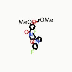 COCCOc1cc(F)c(C(=O)N2CCC3(CC2)Oc2cc(F)ccc2-n2cccc23)cc1OC